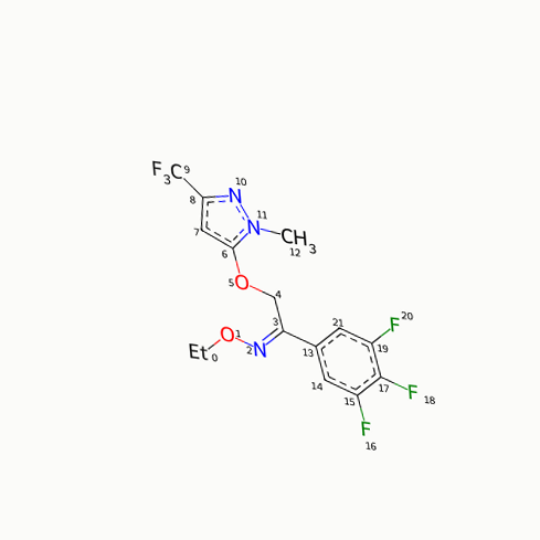 CCON=C(COc1cc(C(F)(F)F)nn1C)c1cc(F)c(F)c(F)c1